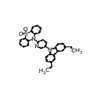 C=Cc1ccc2c(c1)c1cc(C=C)ccc1n2-c1ccc(N2c3ccccc3S(=O)(=O)c3ccccc32)nc1